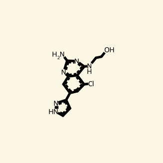 Nc1nc(NCCO)c2c(Cl)cc(-c3cc[nH]n3)cc2n1